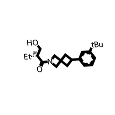 CC[C@H](CO)C(=O)N1CC2(CC(c3cccc(C(C)(C)C)c3)C2)C1